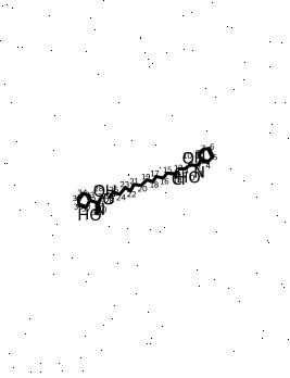 ON=C(c1ccccc1)C(O)CCC(Cl)CCCCCCCCCCCOC(O)C(=NO)c1ccccc1